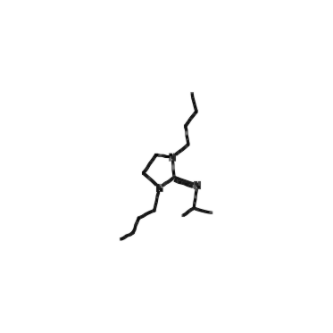 CCCCN1CCN(CCCC)C1=NC(C)C